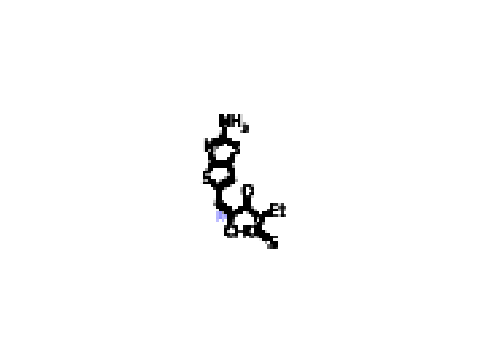 CCN(C=S)C(=O)/C(C=O)=C\c1cc2sc(N)nc2s1